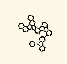 c1ccc(-n2c3ccccc3c3cc(-c4cccc5c6cccc7c8c9c%10cc%11ccccc%11c%11c%12c%13ccccc%13ccc%12n(c9cnc8n(c45)c67)c%10%11)ccc32)cc1